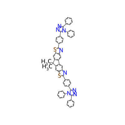 CC1(C)c2cc3sc(-c4ccc(-c5nnc(-c6ccccc6)n5-c5ccccc5)cc4)nc3cc2-c2cc3nc(-c4ccc(-c5nnc(-c6ccccc6)n5-c5ccccc5)cc4)sc3cc21